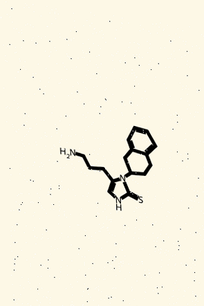 NCCCc1c[nH]c(=S)n1C1CCc2ccccc2C1